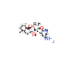 CC1C(=O)c2cc(Oc3ccc(N)cn3)ccc2OC1c1ccccc1